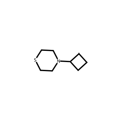 [CH]1CCC1N1CCSCC1